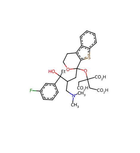 CCC(O)(c1cccc(F)c1)C(CN(C)C)CC1(OC(CC(=O)O)(CC(=O)O)C(=O)O)OCCc2c1sc1ccccc21